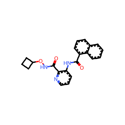 O=C(NOC1CCC1)c1ncccc1NC(=O)c1cccc2ccccc12